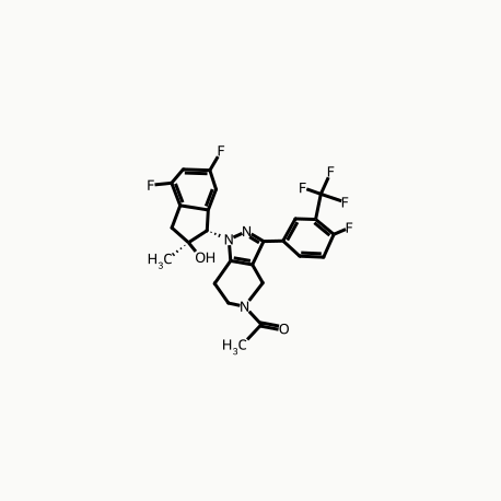 CC(=O)N1CCc2c(c(-c3ccc(F)c(C(F)(F)F)c3)nn2[C@H]2c3cc(F)cc(F)c3C[C@]2(C)O)C1